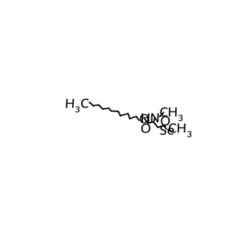 CCCCCCCCCCCCCOC(=O)C(CC[Se]C)NC(C)=O